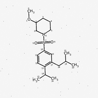 COC1CCCN(S(=O)(=O)c2ccc(C(C)C)c(CC(C)C)c2)C1